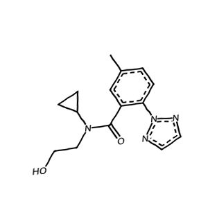 Cc1ccc(-n2nccn2)c(C(=O)N(CCO)C2CC2)c1